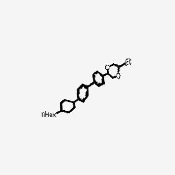 CCCCCCC1CCC(c2ccc(-c3ccc(C4COC(CC)CO4)cc3)cc2)CC1